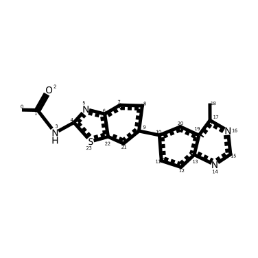 CC(=O)Nc1nc2ccc(-c3ccc4ncnc(C)c4c3)cc2s1